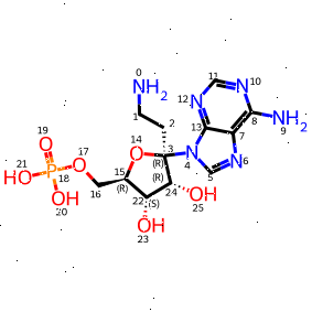 NCC[C@@]1(n2cnc3c(N)ncnc32)O[C@H](COP(=O)(O)O)[C@@H](O)[C@H]1O